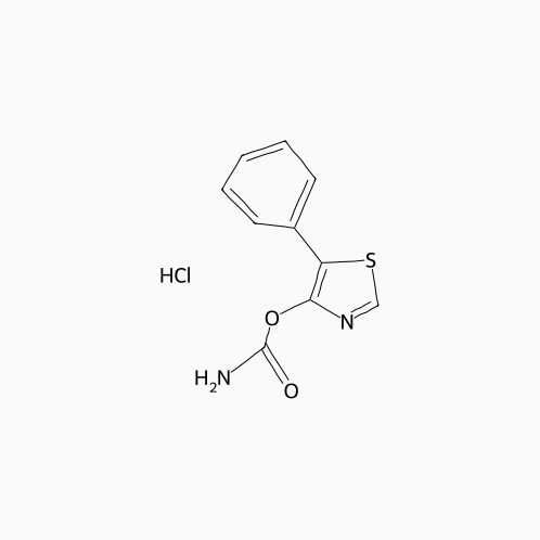 Cl.NC(=O)Oc1ncsc1-c1ccccc1